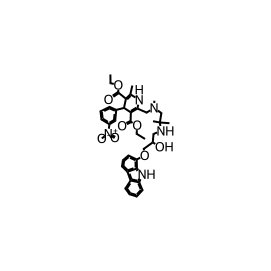 CCOC(=O)C1=C(C)NC(CN(C)CC(C)(C)NCC(O)COc2cccc3c2[nH]c2ccccc23)=C(C(=O)OCC)C1c1cccc([N+](=O)[O-])c1